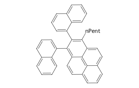 CCCCCc1c(-c2cccc3ccccc23)c(-c2cccc3ccccc23)c2ccc3cccc4ccc1c2c43